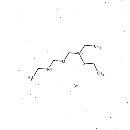 CCNCO[CH2][Sn+]([CH2]C)[S]CC.[Br-]